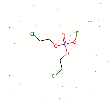 O=P(OF)(OCCCl)OCCCl